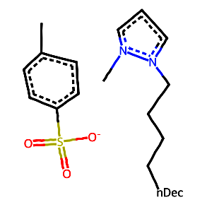 CCCCCCCCCCCCCCn1ccc[n+]1C.Cc1ccc(S(=O)(=O)[O-])cc1